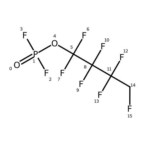 O=P(F)(F)OC(F)(F)C(F)(F)C(F)(F)CF